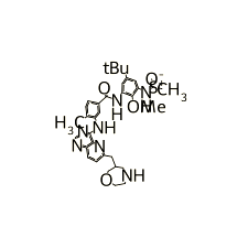 COc1c(NC(=O)c2ccc(C)c(Nc3ncnc4ccc(CC5CNCCOC5)nc34)c2)cc(C(C)(C)C)cc1N[S+](C)[O-]